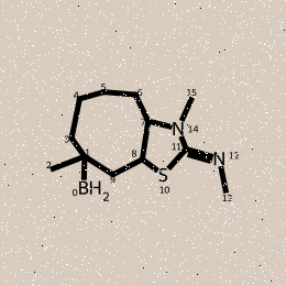 BC1(C)CCCCC2C(C1)S/C(=N\C)N2C